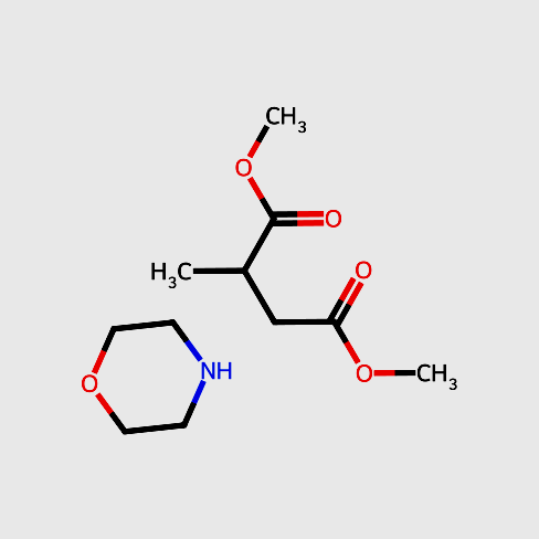 C1COCCN1.COC(=O)CC(C)C(=O)OC